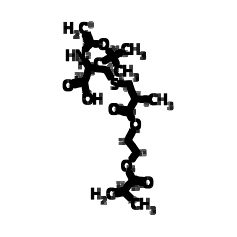 C=C(NC(CSCC(C)C(=O)OCCOC(=O)C(=C)C)C(=O)O)OC(C)(C)C